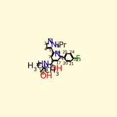 CC(C)n1nccc1-c1cc(C(O)NC(C)(C)CO)cc(-c2ccc(F)cc2)n1